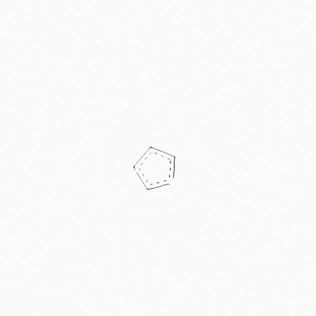 [Si].c1cc[pH]c1